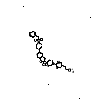 CCCc1cnc(N2CCC(C3(C)Cc4cc(C5=CCN(S(=O)(=O)Cc6ccccc6)CC5)ccc4O3)CC2)nc1